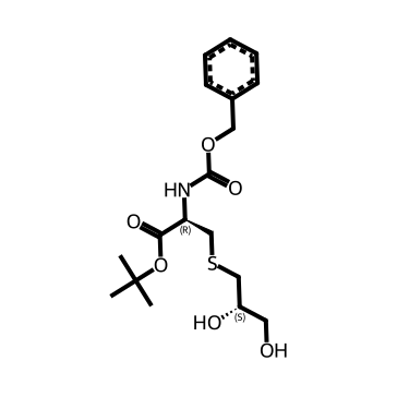 CC(C)(C)OC(=O)[C@H](CSC[C@@H](O)CO)NC(=O)OCc1ccccc1